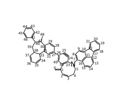 C=C1/C=C\CCN(c2ccc3c4c(cccc24)-c2ccccc2-3)c2c#cc(-c3ccc4c(c3)C3C=CC=CC3CC(c3ccccc3)C4C)cc21